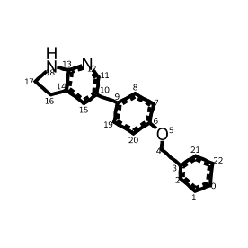 c1ccc(COc2ccc(-c3cnc4c(c3)CCN4)cc2)cc1